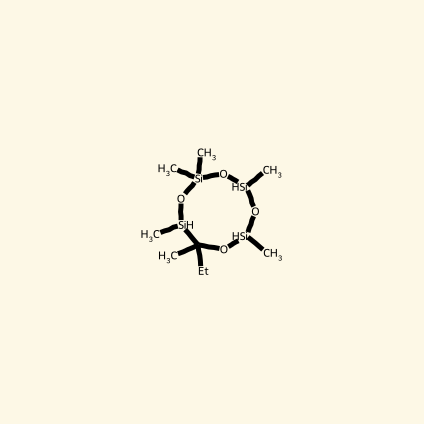 CCC1(C)O[SiH](C)O[SiH](C)O[Si](C)(C)O[SiH]1C